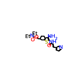 CCN(CC)C(=O)OCC1CCc2c(sc(NC(=O)/C=C/c3cccnc3)c2N)C1